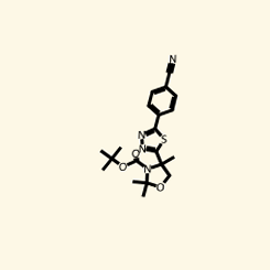 CC(C)(C)OC(=O)N1C(C)(C)OCC1(C)c1nnc(-c2ccc(C#N)cc2)s1